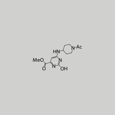 COC(=O)c1cc(NC2CCN(C(C)=O)CC2)nc(O)n1